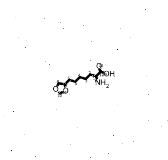 NC(CCCCCC1COCO1)C(=O)O